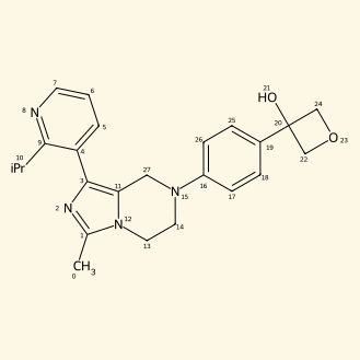 Cc1nc(-c2cccnc2C(C)C)c2n1CCN(c1ccc(C3(O)COC3)cc1)C2